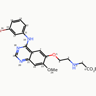 CCOC(=O)CNCCOc1cc2c(Nc3cccc(Br)c3)ncnc2cc1OC